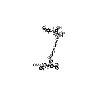 COc1cccc(F)c1-c1nccc(C(=O)Nc2ccc(-c3cnccc3C#N)cc2N2CCN(C(=O)COCCOCCOCCOCCOCC(=O)N[C@H](C(=O)N3C[C@H](O)C[C@H]3C(=O)NCc3ccc(-c4scnc4C)cc3)C(C)(C)C)CC2)n1